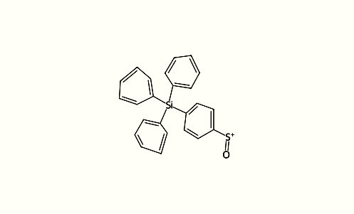 O=[S+]c1ccc([Si](c2ccccc2)(c2ccccc2)c2ccccc2)cc1